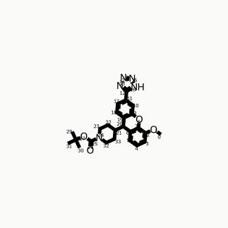 COc1cccc2c1Oc1cc(-c3nnn[nH]3)ccc1C2C1CCN(C(=O)OC(C)(C)C)CC1